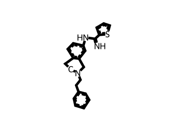 N=C(Nc1ccc2c(c1)CN(CCc1ccccc1)CC2)c1cccs1